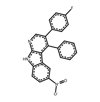 O=[N+]([O-])c1ccc2[nH]c3ncc(-c4ccc(F)cc4)c(-c4ccccc4)c3c2c1